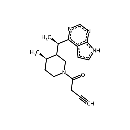 C#CCC(=O)N1CC[C@@H](C)C([C@@H](C)c2ncnc3[nH]ccc23)C1